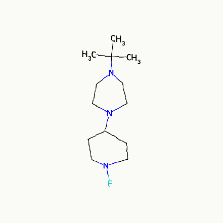 CC(C)(C)N1CCN(C2CCN(F)CC2)CC1